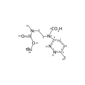 CN(CCN(C(=O)O)c1ccc(I)nn1)C(=O)OC(C)(C)C